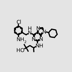 CC(CC(C)(C)O)Nc1nc(NCc2cc(Cl)ccc2N)c2ncn(C3CCCCC3)c2n1